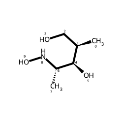 C[C@H](CO)[C@@H](O)[C@H](C)NO